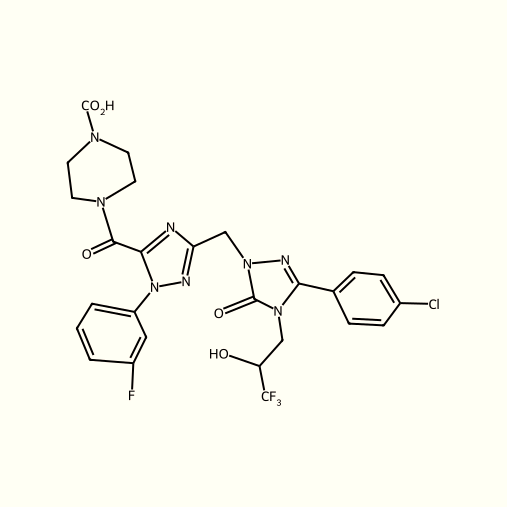 O=C(O)N1CCN(C(=O)c2nc(Cn3nc(-c4ccc(Cl)cc4)n(CC(O)C(F)(F)F)c3=O)nn2-c2cccc(F)c2)CC1